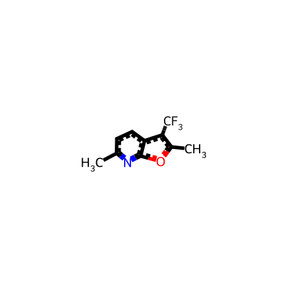 Cc1ccc2c(C(F)(F)F)c(C)oc2n1